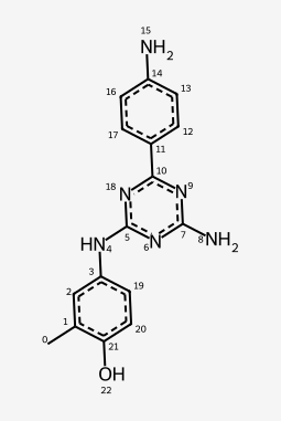 Cc1cc(Nc2nc(N)nc(-c3ccc(N)cc3)n2)ccc1O